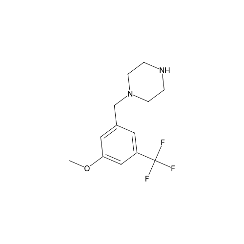 COc1cc(CN2CCNCC2)cc(C(F)(F)F)c1